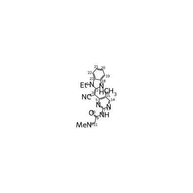 CCN1/C(=C(\C#N)c2nc(NC(=O)CNC)ncc2C)Nc2ccccc21